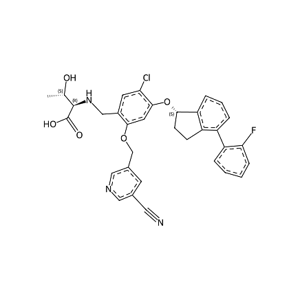 C[C@H](O)[C@@H](NCc1cc(Cl)c(O[C@H]2CCc3c(-c4ccccc4F)cccc32)cc1OCc1cncc(C#N)c1)C(=O)O